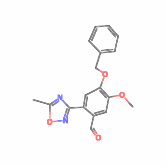 COc1cc(C=O)c(-c2noc(C)n2)cc1OCc1ccccc1